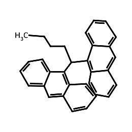 CCCCC(c1c2ccccc2cc2ccccc12)c1c2ccccc2cc2ccccc12